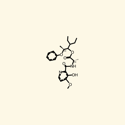 CCC(CC)C(OC(=O)[C@H](C)NC(=O)c1nccc(OC)c1O)[C@H](C)Oc1ccccc1